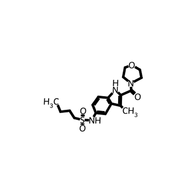 CCCCS(=O)(=O)Nc1ccc2[nH]c(C(=O)N3CCOCC3)c(C)c2c1